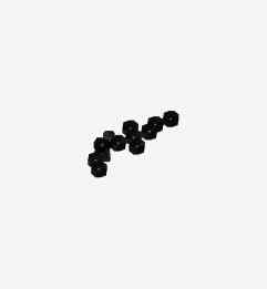 c1ccc(-c2ccc3cc(-c4c5ccccc5c(-c5ccc6c(c5)oc5ccc7c8ccc9ccccc9c8sc7c56)c5ccccc45)ccc3c2)cc1